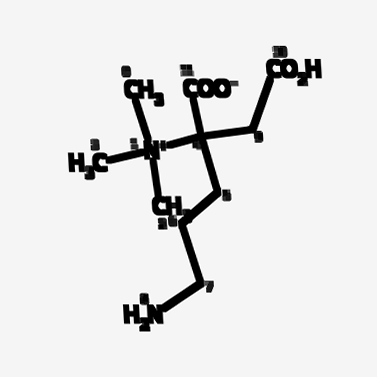 C[N+](C)(C)C(CCCN)(CC(=O)O)C(=O)[O-]